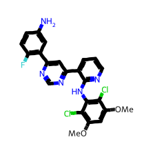 COc1cc(OC)c(Cl)c(Nc2ncccc2-c2cc(-c3cc(N)ccc3F)ncn2)c1Cl